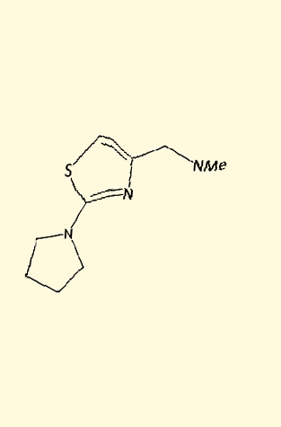 CNCc1csc(N2CCCC2)n1